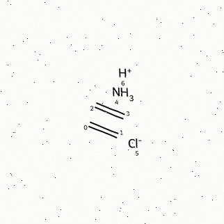 C=C.C=C.N.[Cl-].[H+]